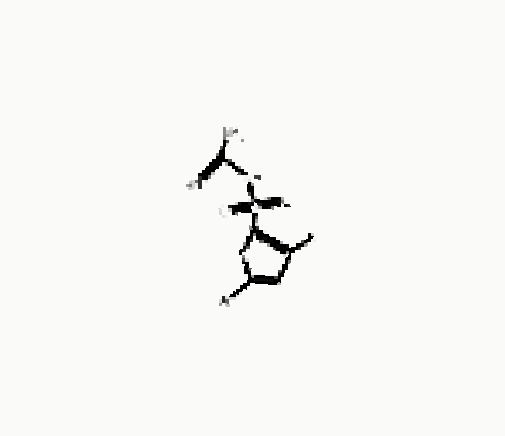 N=C(N)NS(=O)(=O)c1sc(Br)cc1Br